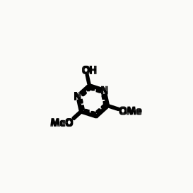 COc1cc(OC)nc(O)n1